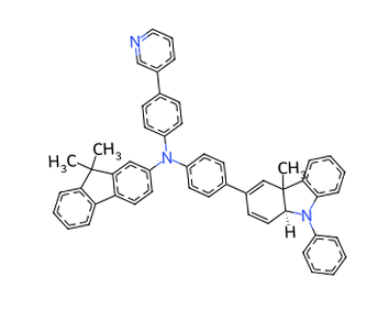 CC1(C)c2ccccc2-c2ccc(N(c3ccc(C4=CC5(C)c6ccccc6N(c6ccccc6)[C@H]5C=C4)cc3)c3ccc(-c4cccnc4)cc3)cc21